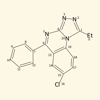 CCc1nnc2nc(-c3ccccc3)c3cc(Cl)ccc3n12